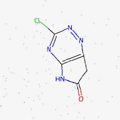 O=C1Cc2nnc(Cl)nc2N1